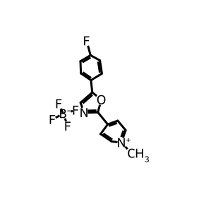 C[n+]1ccc(-c2ncc(-c3ccc(F)cc3)o2)cc1.F[B-](F)(F)F